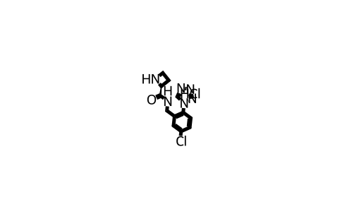 Cl.O=C(NCc1cc(Cl)ccc1-n1cnnn1)[C@@H]1CCN1